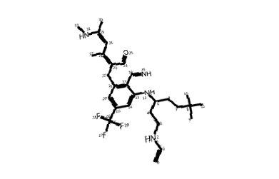 C=CNCCC(CCC(C)(C)C)Nc1cc(C(F)(F)F)cc(C/C(C=O)=C(C)/C=C(/C)NC)c1C=N